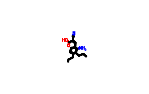 CCCc1ccc(C=C(C#N)C(=O)O)c(N)c1CCC